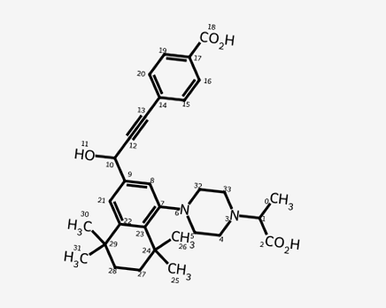 CC(C(=O)O)N1CCN(c2cc(C(O)C#Cc3ccc(C(=O)O)cc3)cc3c2C(C)(C)CCC3(C)C)CC1